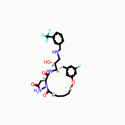 CN1C(=O)CCCCCOc2cc(F)cc(c2)C[C@@H]([C@H](O)CNCc2cccc(C(F)(F)F)c2)NC(=O)[C@@H]1CC(N)=O